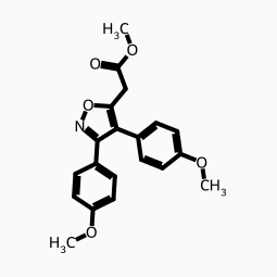 COC(=O)Cc1onc(-c2ccc(OC)cc2)c1-c1ccc(OC)cc1